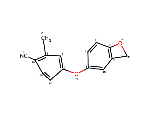 Cc1cc(Oc2ccc3c(c2)CO3)ccc1C#N